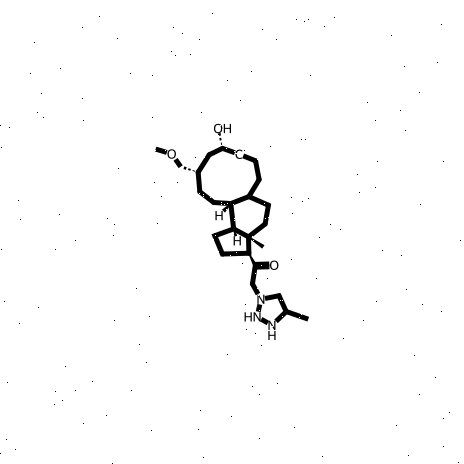 COC[C@H]1CC[C@@H]2C(CCC[C@@H](O)C1)CC[C@]1(C)[C@@H](C(=O)CN3CC(C)NN3)CC[C@@H]21